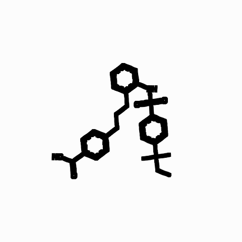 CCC(C)(C)c1ccc(S(=O)(=O)Nc2ccccc2CCCc2ccc(C(=O)O)cc2)cc1